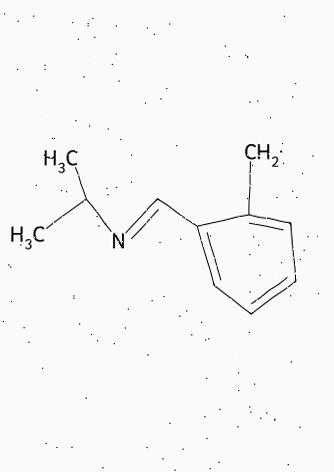 [CH2]c1ccccc1/C=N/C(C)C